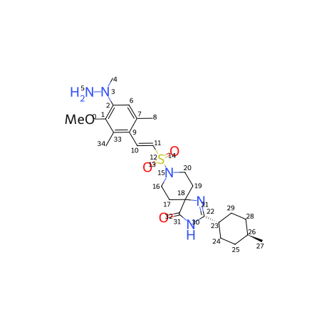 COc1c(N(C)N)cc(C)c(/C=C/S(=O)(=O)N2CCC3(CC2)N=C([C@H]2CC[C@H](C)CC2)NC3=O)c1C